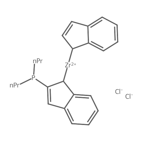 CCCP(CCC)C1=Cc2ccccc2[CH]1[Zr+2][CH]1C=Cc2ccccc21.[Cl-].[Cl-]